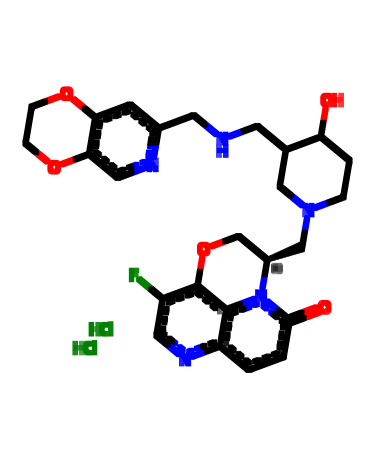 Cl.Cl.O=c1ccc2ncc(F)c3c2n1[C@H](CN1CCC(O)C(CNCc2cc4c(cn2)OCCO4)C1)CO3